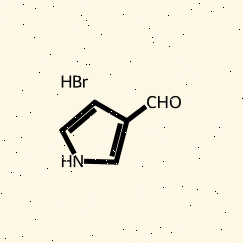 Br.O=Cc1cc[nH]c1